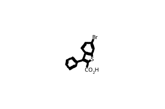 O=C(O)c1sc2cc(Br)ccc2c1-c1ccccc1